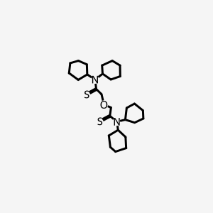 S=C(COCC(=S)N(C1CCCCC1)C1CCCCC1)N(C1CCCCC1)C1CCCCC1